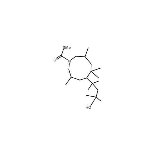 CSC(=O)N1CC(C)CC(C(C)(C)CC(C)(C)O)C(C)(C)CC(C)C1